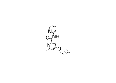 CO[C@@H](C)COc1cc(C)nc(C(=O)Nc2ccccn2)c1